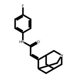 O=C(C=C1C2CC3CC1CN(C3)C2)Nc1ccc(F)cc1